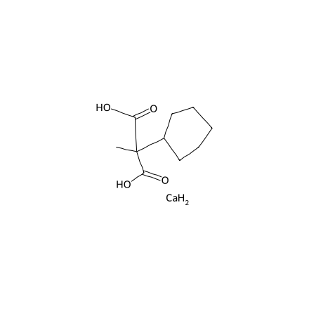 CC(C(=O)O)(C(=O)O)C1CCCCC1.[CaH2]